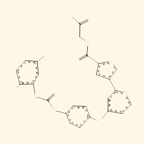 CC(=O)CNC(=O)c1cc(-c2cc(Oc3ccc(NC(=O)Nc4cc(C)ccc4F)cc3)ccn2)cs1